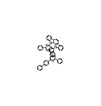 C1=CC2c3ccccc3N(c3nc(-c4ccccc4)nc(-c4ccccc4)n3)C2c2c1c1ccccc1n2-c1cccc(-c2cc(-c3ccc(-c4ccccc4)cc3)nc(-c3ccccc3)n2)c1